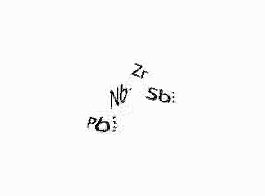 [Nb].[Pb].[Sb].[Zr]